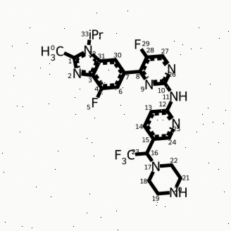 Cc1nc2c(F)cc(-c3nc(Nc4ccc(C(N5CCNCC5)C(F)(F)F)cn4)ncc3F)cc2n1C(C)C